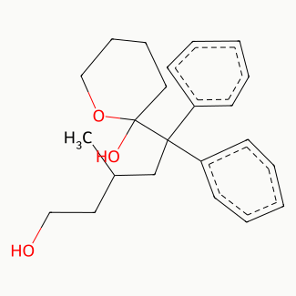 CC(CCO)CC(c1ccccc1)(c1ccccc1)C1(O)CCCCO1